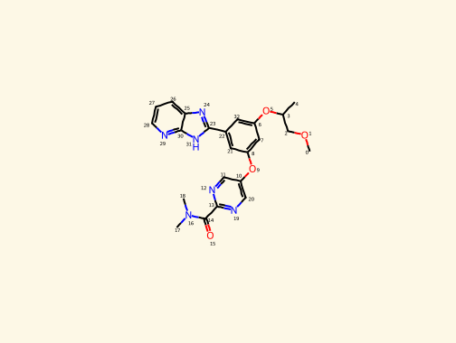 COCC(C)Oc1cc(Oc2cnc(C(=O)N(C)C)nc2)cc(-c2nc3cccnc3[nH]2)c1